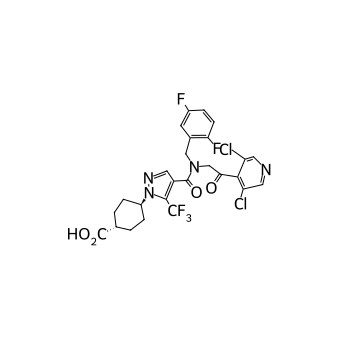 O=C(CN(Cc1cc(F)ccc1F)C(=O)c1cnn([C@H]2CC[C@H](C(=O)O)CC2)c1C(F)(F)F)c1c(Cl)cncc1Cl